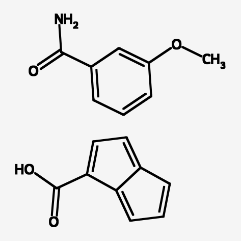 COc1cccc(C(N)=O)c1.O=C(O)C1=CC=C2C=CC=C21